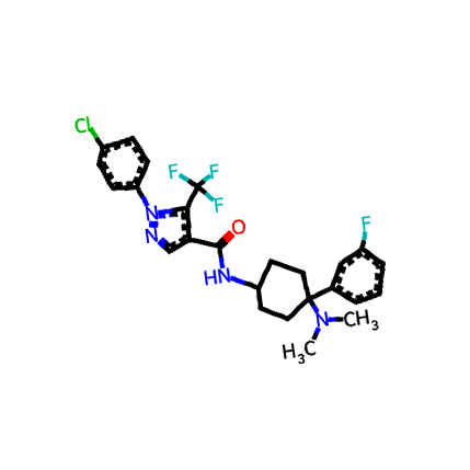 CN(C)C1(c2cccc(F)c2)CCC(NC(=O)c2cnn(-c3ccc(Cl)cc3)c2C(F)(F)F)CC1